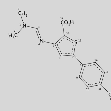 CN(C)/C=N/c1cc(-c2ccc(Cl)cc2)sc1C(=O)O